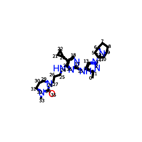 Cc1nn(C2CC3CCC(C2)N3C)cc1Nc1ncc(C2CC2)c(NCCCN2CCCN(C)C2=O)n1